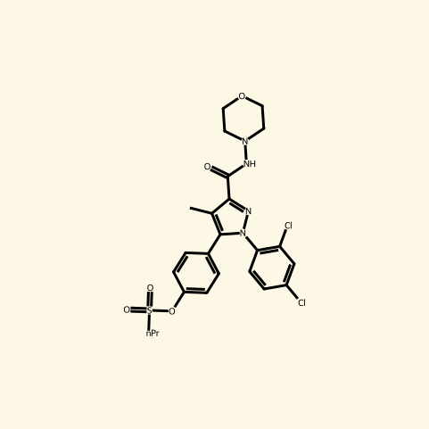 CCCS(=O)(=O)Oc1ccc(-c2c(C)c(C(=O)NN3CCOCC3)nn2-c2ccc(Cl)cc2Cl)cc1